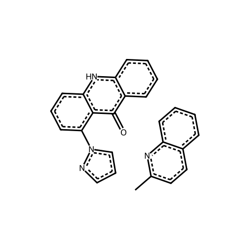 Cc1ccc2ccccc2n1.O=c1c2ccccc2[nH]c2cccc(-n3cccn3)c12